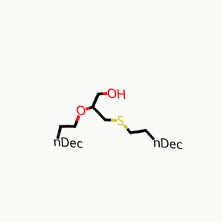 CCCCCCCCCCCCOC(CO)CSCCCCCCCCCCCC